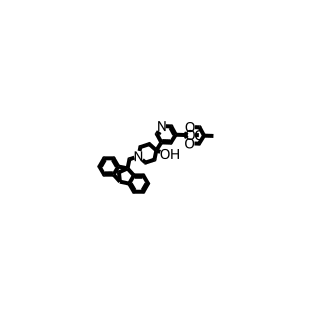 CC12COC(c3cncc(C4(O)CCN(CC56CC(c7ccccc75)c5ccccc56)CC4)c3)(OC1)OC2